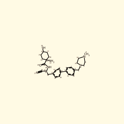 CN1CCN(Cc2ccc(-c3ccc(C[C@@H](C#N)NC(=O)C4(N)CCC(S)CC4)cc3)cc2)CC1